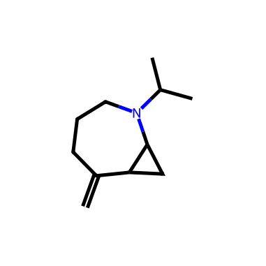 C=C1CCCN(C(C)C)C2CC12